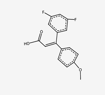 COc1ccc(/C(=C/C(=O)O)c2cc(F)cc(F)c2)cc1